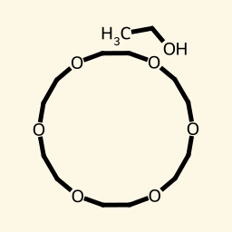 C1COCCOCCOCCOCCOCCO1.CCO